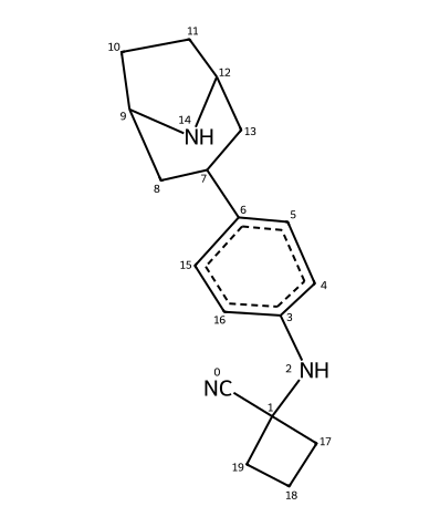 N#CC1(Nc2ccc(C3CC4CCC(C3)N4)cc2)CCC1